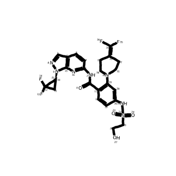 O=C(Nc1ccc2cnn([C@H]3CC3(F)F)c2n1)c1ccc(NS(=O)(=O)CCO)cc1N1CCC(=C(F)F)CC1